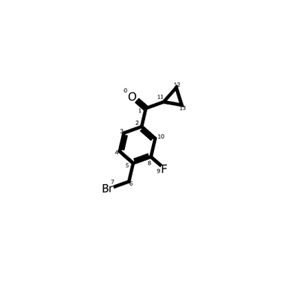 O=C(c1ccc(CBr)c(F)c1)C1CC1